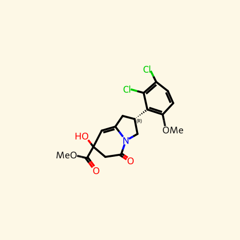 COC(=O)C1(O)C=C2C[C@H](c3c(OC)ccc(Cl)c3Cl)CN2C(=O)C1